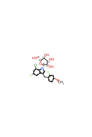 COc1ccc(Cc2cn([C@@H]3O[C@H](CO)[C@@H](O)[C@H](O)[C@H]3O)c3c(Cl)cc(F)cc23)c(F)c1